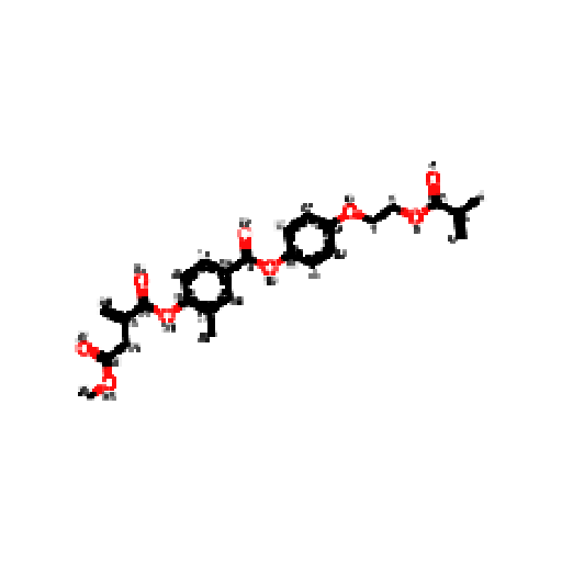 C=C(C)C(=O)OCCOc1ccc(OC(=O)c2ccc(OC(=O)C(=C)CC(=O)OC)c(C)c2)cc1